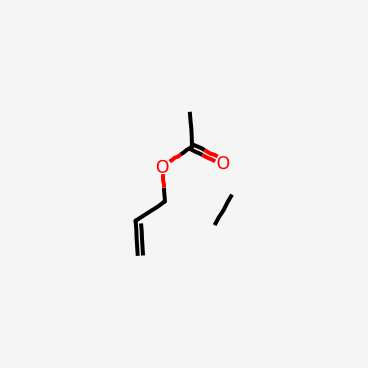 C=CCOC(C)=O.CC